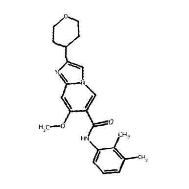 COc1cc2nc(C3CCOCC3)cn2cc1C(=O)Nc1cccc(C)c1C